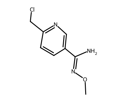 CO/N=C(\N)c1ccc(CCl)nc1